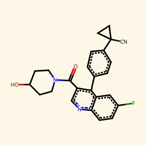 N#CC1(c2ccc(-c3c(C(=O)N4CCC(O)CC4)cnc4ccc(F)cc34)cc2)CC1